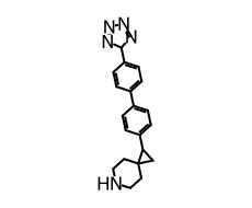 c1cc(C2N=NN=N2)ccc1-c1ccc(C2CC23CCNCC3)cc1